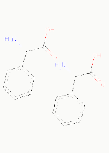 N[C@H](C(=O)O)c1ccccc1.N[C@H](C(=O)O)c1ccccc1